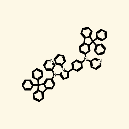 c1ccc(-n2c(-c3ccc(N(c4cccnc4)c4ccc5c(c4)C(c4ccccc4)(c4ccccc4)c4ccccc4-5)cc3)ccc2N(c2cccnc2)c2ccc3c(c2)C(c2ccccc2)(c2ccccc2)c2ccccc2-3)cc1